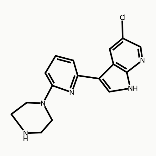 Clc1cnc2[nH]cc(-c3cccc(N4CCNCC4)n3)c2c1